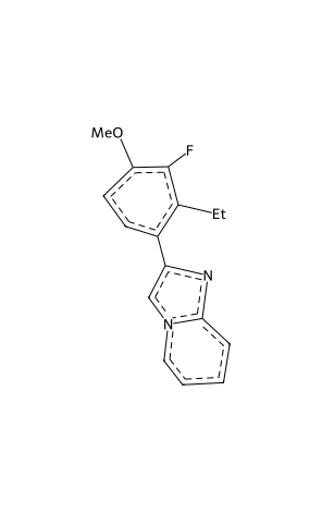 CCc1c(-c2cn3ccccc3n2)ccc(OC)c1F